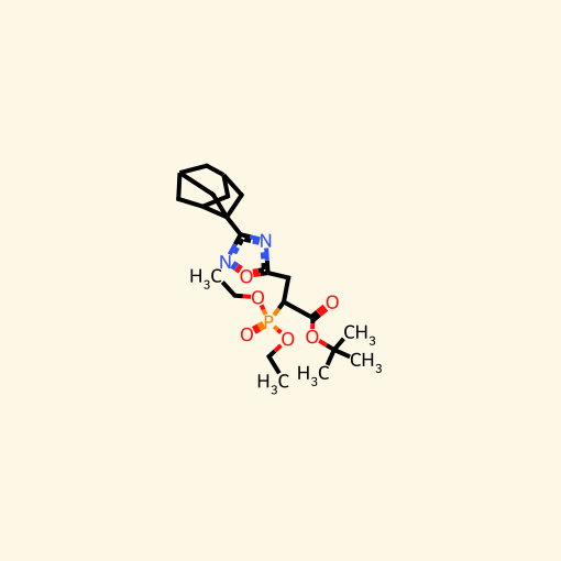 CCOP(=O)(OCC)C(Cc1nc(C23CC4CC(CC2C4)C3)no1)C(=O)OC(C)(C)C